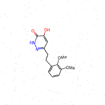 COc1cccc(CCc2cc(O)c(=O)[nH]n2)c1OC